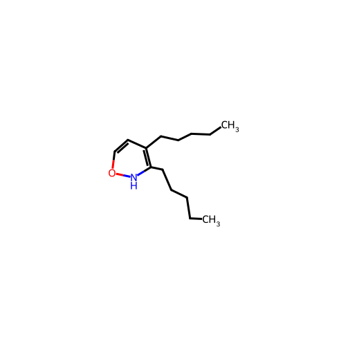 CCCCCC1=C(CCCCC)NOC=C1